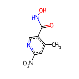 Cc1cc([N+](=O)[O-])ncc1C(=O)NO